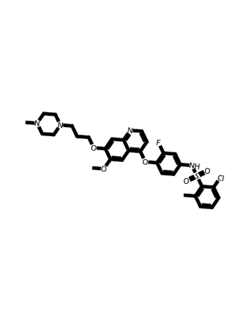 COc1cc2c(Oc3ccc(NS(=O)(=O)c4c(C)cccc4Cl)cc3F)ccnc2cc1OCCCN1CCN(C)CC1